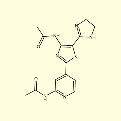 CC(=O)Nc1cc(-c2nc(NC(C)=O)c(C3=NCCN3)s2)ccn1